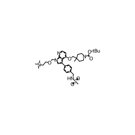 CC1(COc2ccnc3c2c(-c2ccc(CNS(C)(=O)=O)cc2)cn3COCC[Si](C)(C)C)CCN(C(=O)OC(C)(C)C)CC1